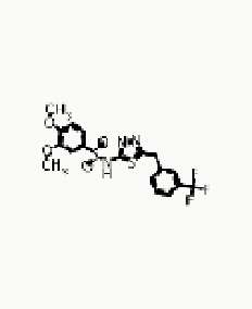 COc1ccc(S(=O)(=O)Nc2nnc(Cc3cccc(C(F)(F)F)c3)s2)cc1OC